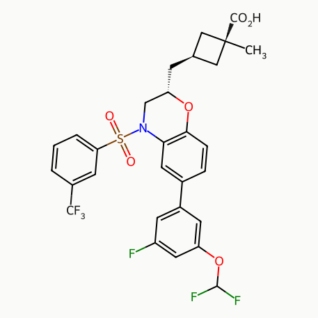 C[C@]1(C(=O)O)C[C@@H](C[C@H]2CN(S(=O)(=O)c3cccc(C(F)(F)F)c3)c3cc(-c4cc(F)cc(OC(F)F)c4)ccc3O2)C1